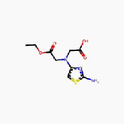 CCOC(=O)CN(CC(=O)O)c1csc(N)n1